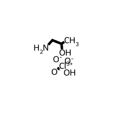 CC(O)CN.[O-][Cl+3]([O-])([O-])O